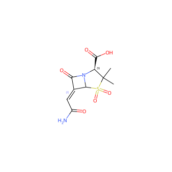 CC1(C)[C@H](C(=O)O)N2C(=O)/C(=C/C(N)=O)C2S1(=O)=O